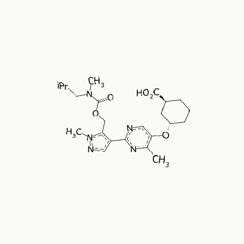 Cc1nc(-c2cnn(C)c2COC(=O)N(C)CC(C)C)ncc1O[C@H]1CCC[C@H](C(=O)O)C1